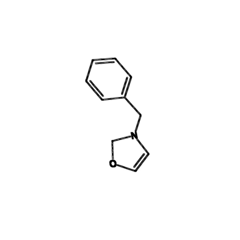 C1=CN(Cc2ccccc2)CO1